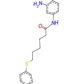 Nc1cccc(NC(=O)CCCCCSc2ccccc2)c1